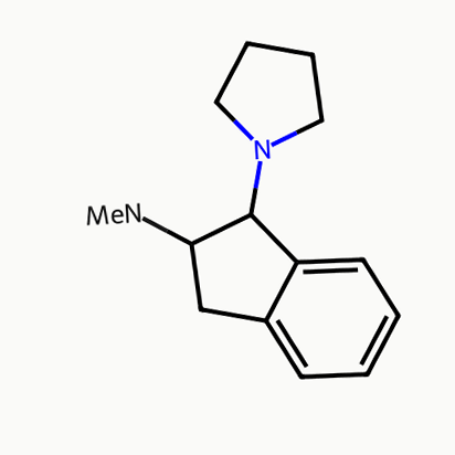 CNC1Cc2ccccc2C1N1CCCC1